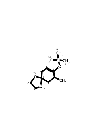 CC1CC2(CC=C1O[Si](C)(C)C)OCCO2